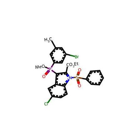 CCOC(=O)c1c(P(=O)(OC)c2cc(C)cc(Br)c2)c2cc(Cl)ccc2n1S(=O)(=O)c1ccccc1